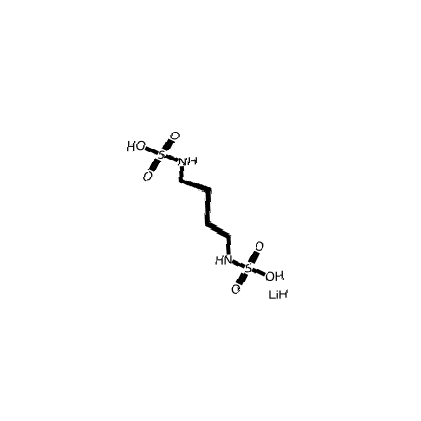 O=S(=O)(O)NCCCCNS(=O)(=O)O.[LiH]